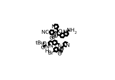 CC(C)(C)OC(=O)Nc1ccc2ccc(CN(C(=O)c3cccnc3)c3ccc(Br)cc3S(C)(=O)=O)cc2n1.CS(=O)(=O)c1cc(C#N)ccc1N(Cc1ccc2ccc(N)nc2c1)C(=O)c1cccnc1